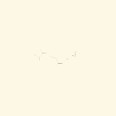 CC(C)CCCC(C)CCCC(C)Br